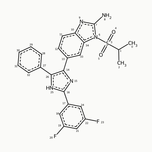 CC(C)S(=O)(=O)n1c(N)nc2ccc(-c3nc(-c4cc(F)cc(F)c4)[nH]c3-c3ccccc3)cc21